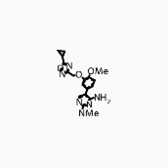 CNc1ncc(-c2ccc(OC)c(OCc3noc(C4CC4)n3)c2)c(N)n1